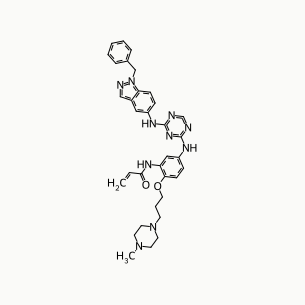 C=CC(=O)Nc1cc(Nc2ncnc(Nc3ccc4c(cnn4Cc4ccccc4)c3)n2)ccc1OCCCN1CCN(C)CC1